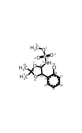 COS(=O)(=O)NC1OC(C)(C)OC1c1ccccc1Cl